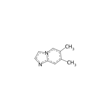 Cc1cc2nccn2cc1C